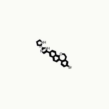 Brc1ccc2c(c1)CCOc1c-2ccc2cc(-c3cnc([C@@H]4CCCN4)[nH]3)ccc12